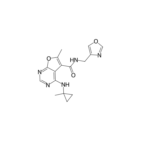 Cc1oc2ncnc(NC3(C)CC3)c2c1C(=O)NCc1cocn1